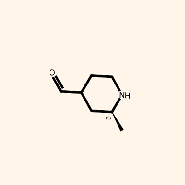 C[C@H]1CC(C=O)CCN1